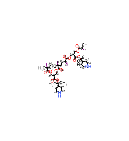 CC(I)C(=O)OCC(COC(=O)C(I)CCC(C)(I)C(=O)OCC(COC(=O)C(C)(C)I)C(=O)OC(C)(C)C1CCNCC1)C(=O)OC(C)(C)C1CCNCC1